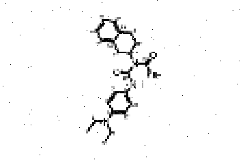 CCN(CC)c1ccc(NC(=O)N(C(=O)O)C2CCc3ccccc3C2)cc1